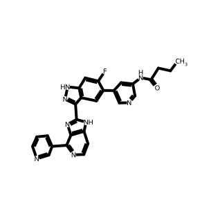 CCCC(=O)Nc1cncc(-c2cc3c(-c4nc5c(-c6cccnc6)nccc5[nH]4)n[nH]c3cc2F)c1